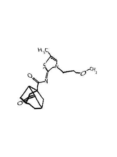 COCCn1cc(C)sc1=NC(=O)C12CC3CC(C1)C(=O)C2C3